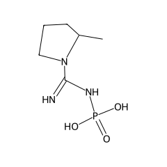 CC1CCCN1C(=N)NP(=O)(O)O